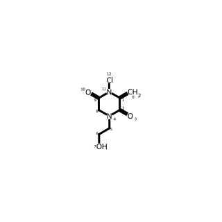 C=C1C(=O)N(CCO)CC(=O)N1Cl